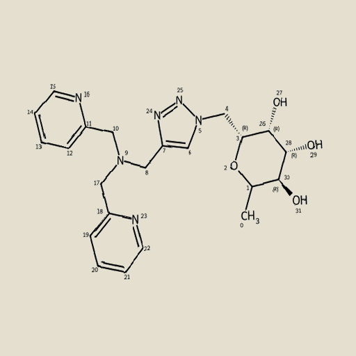 CC1O[C@H](Cn2cc(CN(Cc3ccccn3)Cc3ccccn3)nn2)[C@H](O)[C@H](O)[C@H]1O